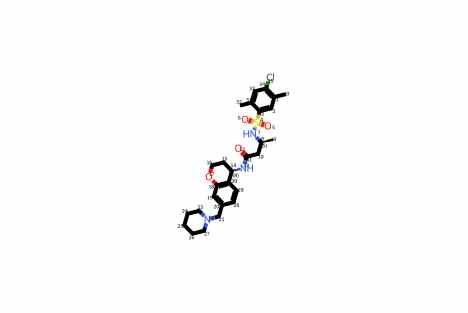 Cc1cc(S(=O)(=O)N[C@@H](C)CC(=O)N[C@@H]2CCOc3cc(CN4CCCCC4)ccc32)c(C)cc1Cl